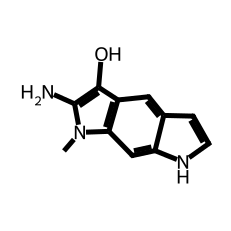 Cn1c(N)c(O)c2cc3cc[nH]c3cc21